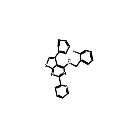 Fc1ccccc1CNc1nc(-c2ccccn2)nc2scc(-c3ccccc3)c12